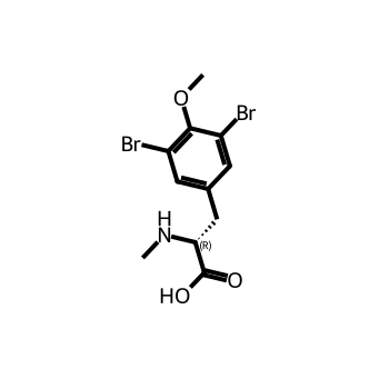 CN[C@H](Cc1cc(Br)c(OC)c(Br)c1)C(=O)O